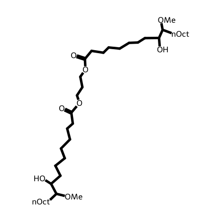 CCCCCCCCC(OC)C(O)CCCCCCCC(=O)OCCCOC(=O)CCCCCCCC(O)C(CCCCCCCC)OC